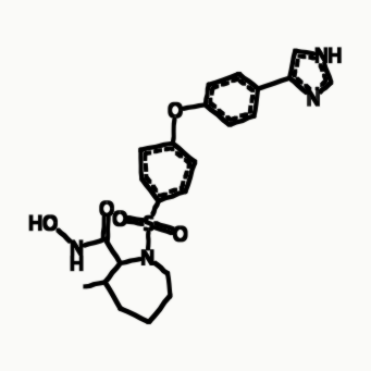 CC1CCCCN(S(=O)(=O)c2ccc(Oc3ccc(-c4c[nH]cn4)cc3)cc2)C1C(=O)NO